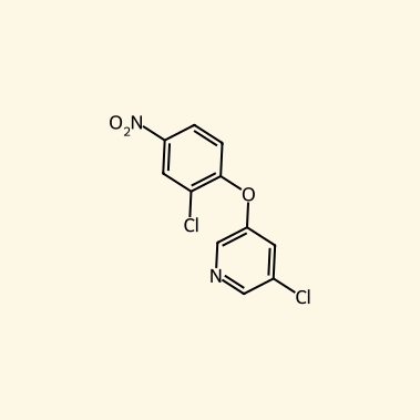 O=[N+]([O-])c1ccc(Oc2cncc(Cl)c2)c(Cl)c1